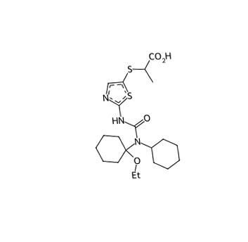 CCOC1(N(C(=O)Nc2ncc(SC(C)C(=O)O)s2)C2CCCCC2)CCCCC1